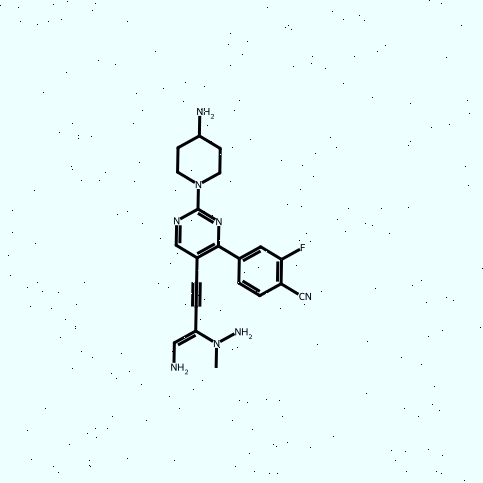 CN(N)/C(C#Cc1cnc(N2CCC(N)CC2)nc1-c1ccc(C#N)c(F)c1)=C\N